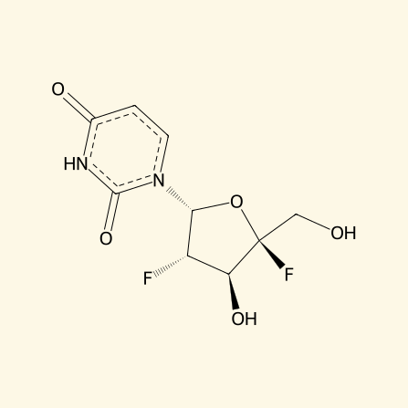 O=c1ccn([C@@H]2O[C@](F)(CO)[C@@H](O)[C@@H]2F)c(=O)[nH]1